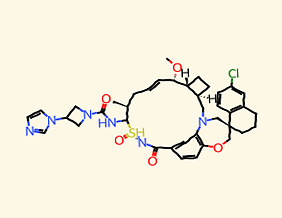 CO[C@H]1/C=C/C[C@H](C)C(NC(=O)N2CC(n3ccnc3)C2)/[SH](=O)=N\C(=O)c2ccc3c(c2)N(C[C@@H]2CC[C@H]21)C[C@@]1(CCCc2cc(Cl)ccc21)CO3